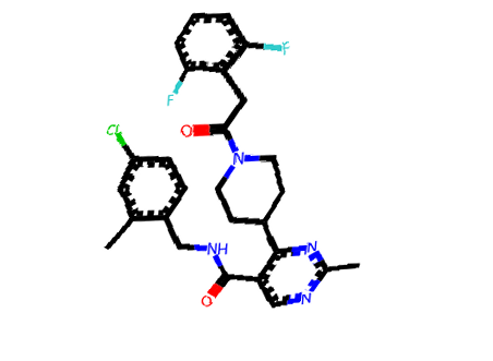 Cc1ncc(C(=O)NCc2ccc(Cl)cc2C)c(C2CCN(C(=O)Cc3c(F)cccc3F)CC2)n1